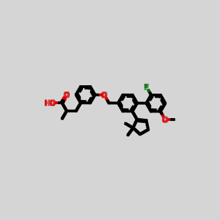 COc1ccc(F)c(-c2ccc(COc3cccc(CC(C)C(=O)O)c3)cc2C2=CCCC2(C)C)c1